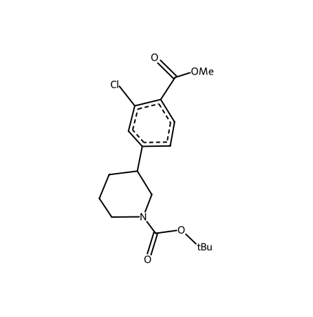 COC(=O)c1ccc(C2CCCN(C(=O)OC(C)(C)C)C2)cc1Cl